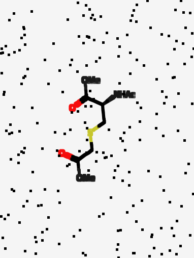 COC(=O)CSC[C@H](NC(C)=O)C(=O)OC